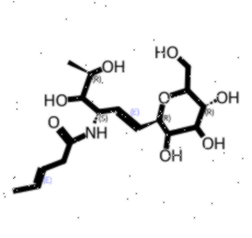 C/C=C/CC(=O)N[C@@H](/C=C/[C@H]1OC(CO)[C@H](O)C(O)C1O)C(O)[C@@H](C)O